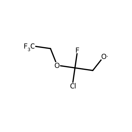 [O]CC(F)(Cl)OCC(F)(F)F